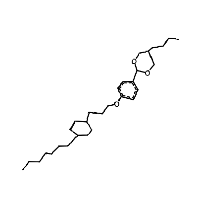 CCCCCCCC1CCC(CCCOc2ccc(C3OCC(CCCC)CO3)cc2)CC1